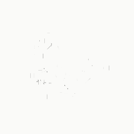 CN/C(Oc1ccc(F)c(C(C)(C)O)c1)=C(\C(=N)C(F)F)C(=O)N[C@@H](C)c1ccc(C(=O)O)cc1